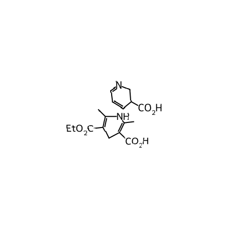 CCOC(=O)C1=C(C)NC(C)=C(C(=O)O)C1.O=C(O)C1C=CC=NC1